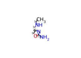 CCNC[C@H]1COC(N)=N1